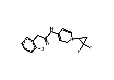 O=C(Cc1ccccc1Cl)NC1=CCN(C2CC2(F)F)C=C1